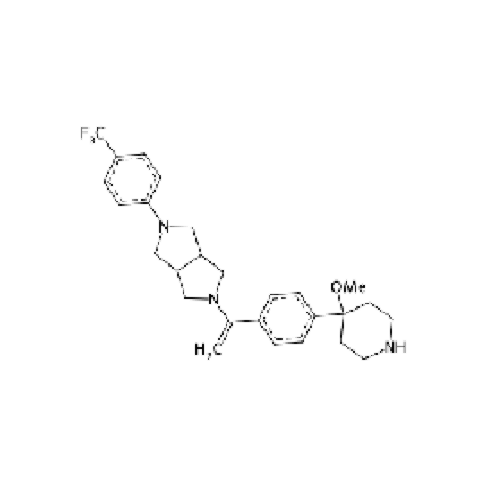 C=C(c1ccc(C2(OC)CCNCC2)cc1)N1CC2CN(c3ccc(C(F)(F)F)cc3)CC2C1